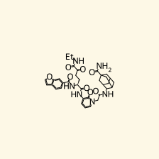 CCNC(=O)C(=O)CC[C@H](NC(=O)c1ccc2ccoc2c1)C(=O)Nc1cccn(CC(=O)NC2C3CC4CC2CC(C(N)=O)(C4)C3)c1=O